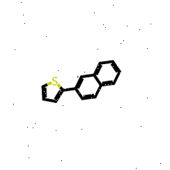 [c]1c(-c2cccs2)ccc2ccccc12